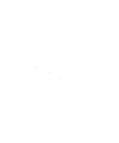 CC[N+](C)(C)c1ccccc1C